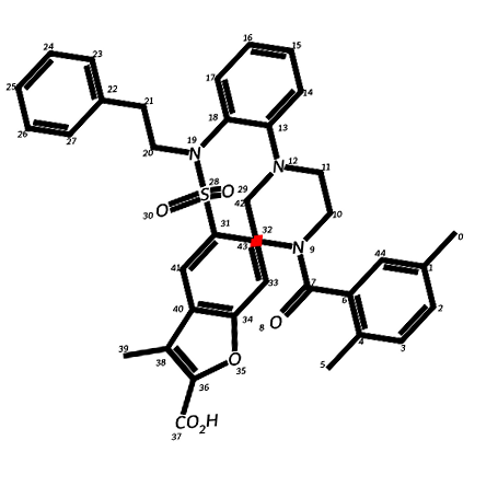 Cc1ccc(C)c(C(=O)N2CCN(c3ccccc3N(CCc3ccccc3)S(=O)(=O)c3ccc4oc(C(=O)O)c(C)c4c3)CC2)c1